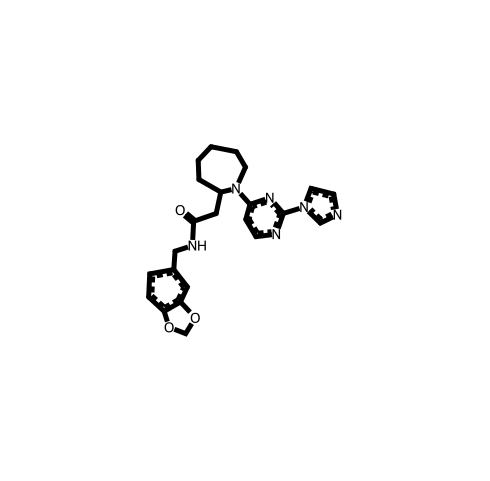 O=C(CC1CCCCCN1c1ccnc(-n2ccnc2)n1)NCc1ccc2c(c1)OCO2